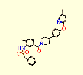 Cc1ccc(Oc2ccc(C3CCN(C(=O)c4ccc(C)c(NS(=O)(=O)Cc5ccccc5)c4)CC3)cc2)nc1